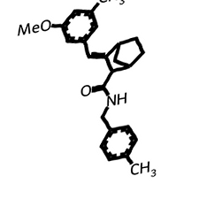 COc1cc(C)cc(/C=C2\C3CCC(C3)C2C(=O)NCc2ccc(C)cc2)c1